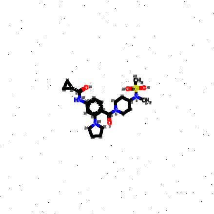 CN(C1CCN(C(=O)c2ccc(NC(=O)C3CC3)cc2N2CCCC2)CC1)S(C)(=O)=O